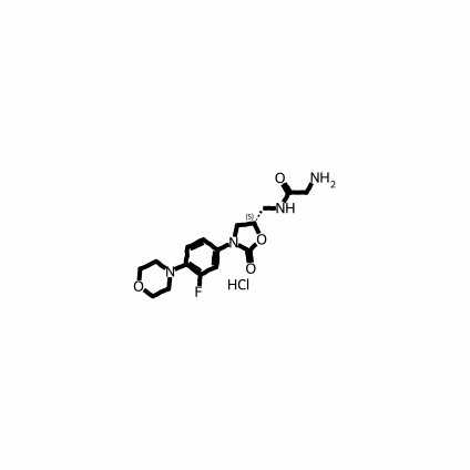 Cl.NCC(=O)NC[C@H]1CN(c2ccc(N3CCOCC3)c(F)c2)C(=O)O1